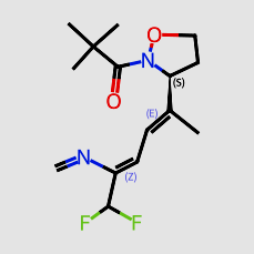 C=N/C(=C\C=C(/C)[C@@H]1CCON1C(=O)C(C)(C)C)C(F)F